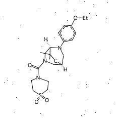 CCOc1ccc(N2C[C@H]3CN(C(=O)N4CCS(=O)(=O)CC4)C[C@@H]2C(C)(C)C3)cc1